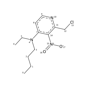 CCCCN(CC)c1ccnc(CCl)c1[N+](=O)[O-]